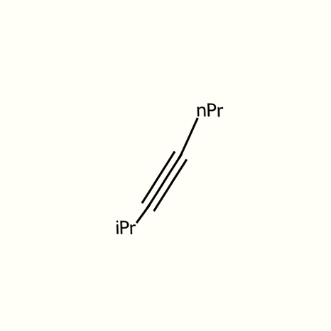 [CH2]CCC#CC([CH2])C